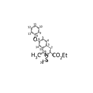 CCOC(=O)C1Cc2ccc(Oc3ccccc3)cc2C(C)N1SI